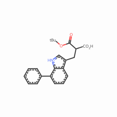 CC(C)(C)OC(=O)C(Cc1c[nH]c2c(-c3ccccc3)cccc12)C(=O)O